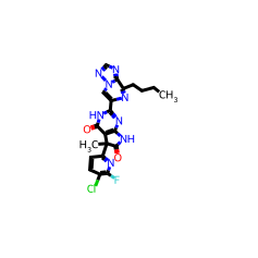 CCCCc1nc(-c2nc3c(c(=O)[nH]2)C(C)(c2ccc(Cl)c(F)n2)C(=O)N3)cn2ncnc12